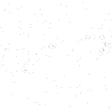 CO[C@H]1C[C@@H]2CC[C@@H](C)[C@@](O)(O2)C(=O)C(=O)N2CCCC[C@H]2C(=O)O[C@H]([C@H](C)C[C@@H]2CC[C@@H](OC(=O)N3CCc4nc(N5CCN(C(=O)CCOCCN6CCN(c7ncc(C(=O)N8CCc9cc(Cn%10nc(-c%11cnc%12[nH]ccc%12c%11)c%11c(N)ncnc%11%10)ccc9C8)cn7)CC6)CC5)ncc4C3)[C@H](OC)C2)CC(=O)[C@H](C)/C=C(\C)[C@@H](O)[C@@H](OC)C(=O)[C@H](C)C[C@H](C)/C=C/C=C/C=C/1C